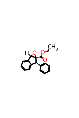 CCOC(=O)[C@]12O[C@H]1c1ccccc1[C@@H]2c1ccccc1